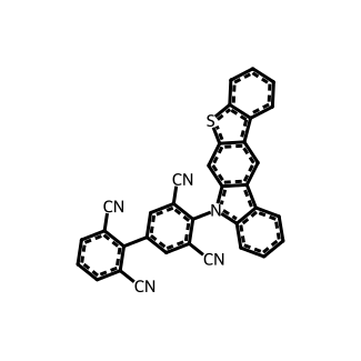 N#Cc1cccc(C#N)c1-c1cc(C#N)c(-n2c3ccccc3c3cc4c(cc32)sc2ccccc24)c(C#N)c1